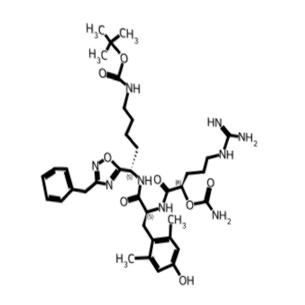 Cc1cc(O)cc(C)c1C[C@H](NC(=O)[C@@H](CCCNC(=N)N)OC(N)=O)C(=O)N[C@@H](CCCCNC(=O)OC(C)(C)C)c1nc(Cc2ccccc2)no1